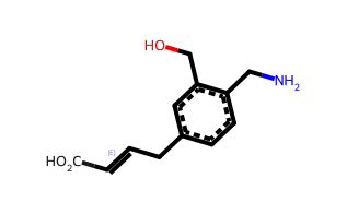 NCc1ccc(C/C=C/C(=O)O)cc1CO